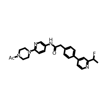 CC(=O)N1CCN(c2ccc(NC(=O)Cc3ccc(-c4ccnc(C(C)F)c4)cc3)cn2)CC1